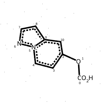 O=C(O)Oc1ccn2nccc2c1